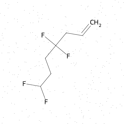 C=CCC(F)(F)CCC(F)F